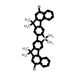 CC1(C)c2cc3c(cc2-c2c1cc(Br)c1ccccc21)S(C)(C)c1cc2c(cc1-3)C(C)(C)c1cc(Br)c3ccccc3c1-2